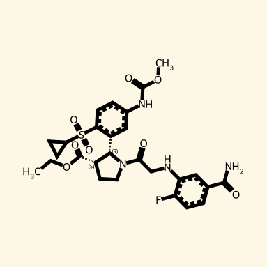 CCOC(=O)[C@H]1CCN(C(=O)CNc2cc(C(N)=O)ccc2F)[C@H]1c1cc(NC(=O)OC)ccc1S(=O)(=O)C1CC1